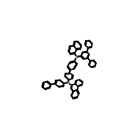 c1ccc(-c2ccc(N(c3ccc(-c4ccc(N(c5cc(-c6ccccc6)cc(-c6ccccc6)c5)c5cccc6ccccc56)cc4)cc3)c3cc4ccccc4c4ccccc34)cc2)cc1